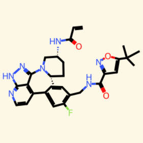 C=CC(=O)N[C@@H]1CC[C@H](C)N(c2n[nH]c3nccc(-c4ccc(CNC(=O)c5cc(C(C)(C)C)on5)c(F)c4)c23)C1